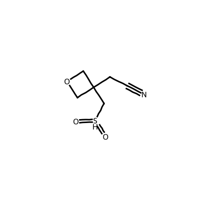 N#CCC1(C[SH](=O)=O)COC1